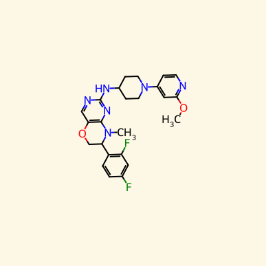 COc1cc(N2CCC(Nc3ncc4c(n3)N(C)C(c3ccc(F)cc3F)CO4)CC2)ccn1